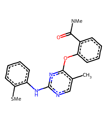 CNC(=O)c1ccccc1Oc1nc(Nc2ccccc2SC)ncc1C